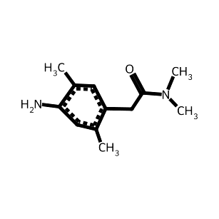 Cc1cc(CC(=O)N(C)C)c(C)cc1N